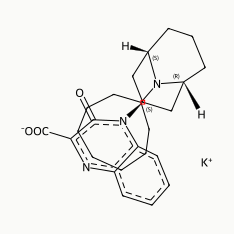 O=C([O-])c1nc2ccccc2n([C@@H]2C[C@H]3CCC[C@@H](C2)N3C2CCCCCCC2)c1=O.[K+]